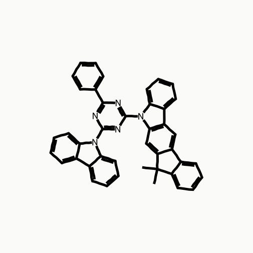 CC1(C)c2ccccc2-c2cc3c4ccccc4n(-c4nc(-c5ccccc5)nc(-n5c6ccccc6c6ccccc65)n4)c3cc21